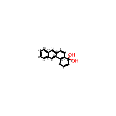 OC1(O)C=C[CH]c2c1ccc1cc3ccccc3cc21